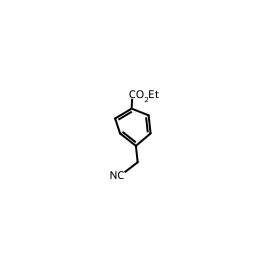 CCOC(=O)c1ccc(CC#N)cc1